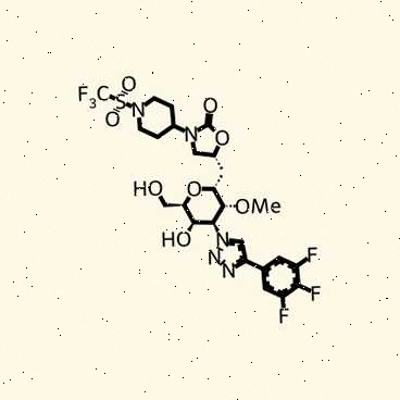 CO[C@@H]1[C@@H](n2cc(-c3cc(F)c(F)c(F)c3)nn2)[C@@H](O)[C@@H](CO)O[C@@H]1C[C@@H]1CN(C2CCN(S(=O)(=O)C(F)(F)F)CC2)C(=O)O1